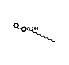 CCCCCCCCCCCCC(O)COc1ccc([I+]c2ccccc2)cc1